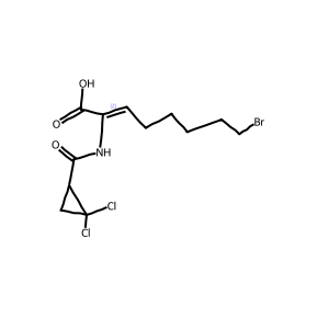 O=C(O)/C(=C/CCCCCBr)NC(=O)C1CC1(Cl)Cl